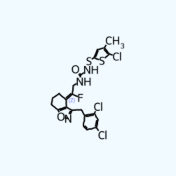 Cc1cc(SNC(=O)NC/C(F)=C2\CCCc3onc(Cc4ccc(Cl)cc4Cl)c32)sc1Cl